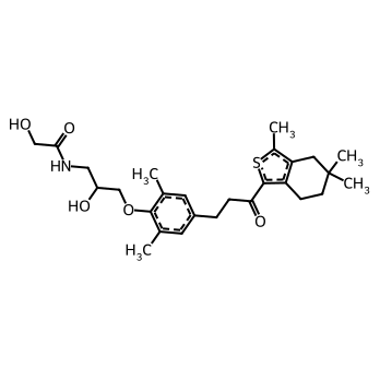 Cc1cc(CCC(=O)c2sc(C)c3c2CCC(C)(C)C3)cc(C)c1OCC(O)CNC(=O)CO